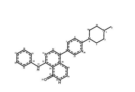 CN1CCN(c2ccc(-c3cnc(Nc4ccccc4)c4c(=O)[nH]ccc34)cn2)CC1